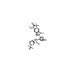 CCN1C(=O)C(C)(C)c2cc3[nH]c(-c4n[nH]cc4NC(=O)c4cccc(C(F)(F)F)c4)nc3cc21